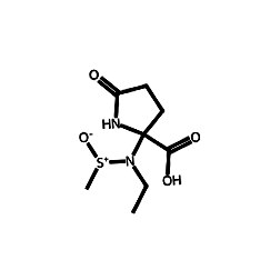 CCN([S+](C)[O-])C1(C(=O)O)CCC(=O)N1